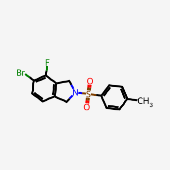 Cc1ccc(S(=O)(=O)N2Cc3ccc(Br)c(F)c3C2)cc1